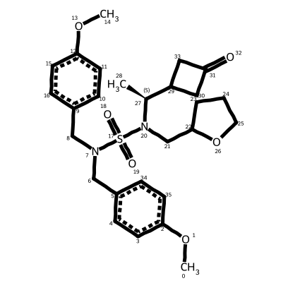 COc1ccc(CN(Cc2ccc(OC)cc2)S(=O)(=O)N(CC2CCCO2)[C@@H](C)C2CC(=O)C2)cc1